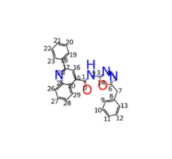 O=C(Nc1nnc(Cc2ccccc2)o1)c1cc(-c2ccccc2)nc2ccccc12